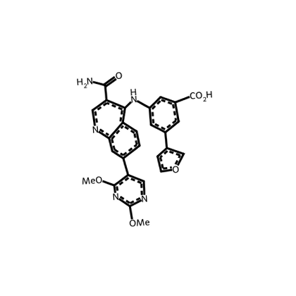 COc1ncc(-c2ccc3c(Nc4cc(C(=O)O)cc(-c5ccoc5)c4)c(C(N)=O)cnc3c2)c(OC)n1